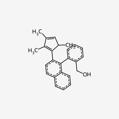 CC1=CC(C)C(c2ccc3ccccc3c2-c2ccccc2CO)=C1C